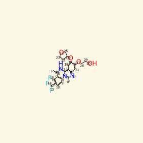 Cc1nc(N[C@H](C)c2cccc(C(F)F)c2F)c2cc(OC3CCOC3)c(OCCO)cc2n1